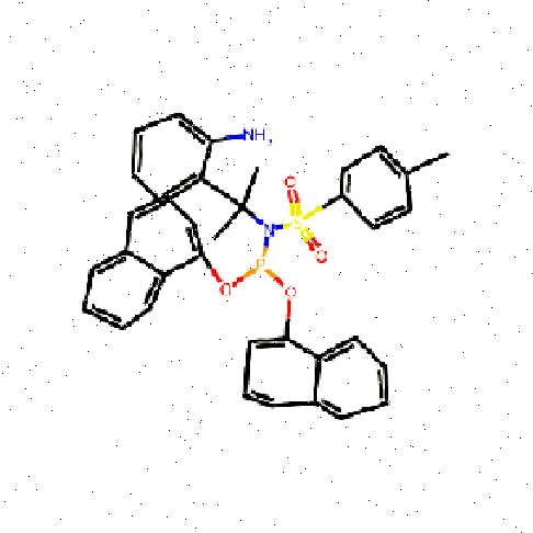 Cc1ccc(S(=O)(=O)N(P(Oc2cccc3ccccc23)Oc2cccc3ccccc23)C(C)(C)c2ccccc2N)cc1